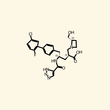 O=C(N[C@H](Cc1ccc(-c2cc(Cl)ccc2F)cc1)C[C@@H](CN1CC[C@H]1CO)C(=O)O)c1cnn[nH]1